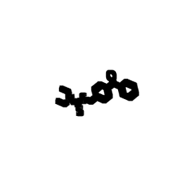 CCN(CC)C(=S)SCc1ccc(C(=O)c2ccccc2)cc1